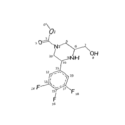 COC(=O)N1CC(CO)NC(c2cc(F)c(F)c(F)c2)C1